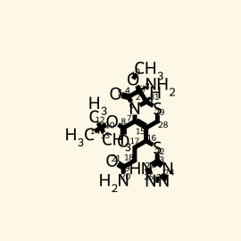 CO[C@@]1(N)C(=O)N2C(C(=O)OC(C)(C)C)=C(C(CCC(N)=O)Sc3nnn[nH]3)CS[C@H]21